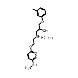 Cc1cccc(OCC(O)CNCCOc2ccc(NN)nn2)c1.Cl.Cl